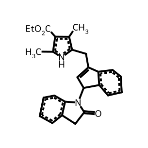 CCOC(=O)c1c(C)[nH]c(CC2=CC(N3C(=O)Cc4ccccc43)c3ccccc32)c1C